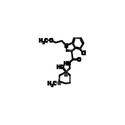 COCCn1cc(C(=O)NC[C@]2(O)CCC[C@H](C)C2)c2c(Cl)cccc21